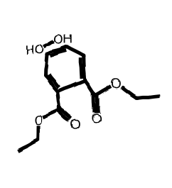 CCOC(=O)c1ccccc1C(=O)OCC.OO